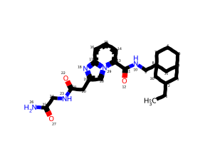 CCC1CC2CCCC(CNC(=O)c3cccc4nc(CC(=O)NCC(N)=O)cn34)(C1)C2